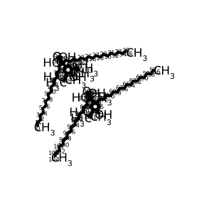 CCCCCCCCCCCCCCCCCCC(CCCCCCCCCCCCCCCCCC)(c1cc(C(C)(C)C)c(O)c(C(C)(C)C)c1)P(=O)(O)O.CCCCCCCCCCCCCCCCCCc1cc(O)c(C(C)(C)C)cc1C(C)(CCCCCCCCCCCCCCCCCC)P(=O)(O)O